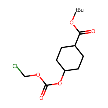 CC(C)(C)OC(=O)C1CCC(OC(=O)OCCl)CC1